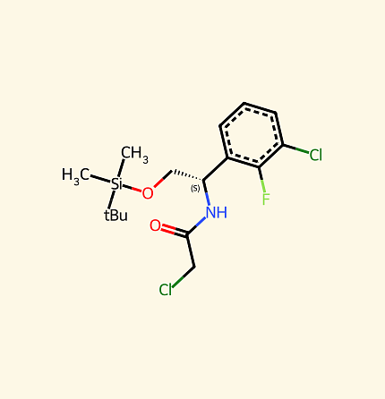 CC(C)(C)[Si](C)(C)OC[C@@H](NC(=O)CCl)c1cccc(Cl)c1F